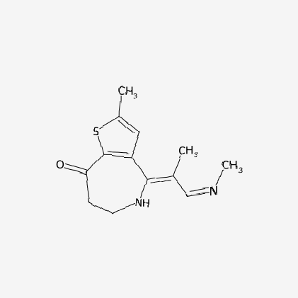 C/N=C\C(C)=C1/NCCC(=O)c2sc(C)cc21